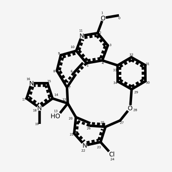 COc1cc2c3cc(ccc3n1)C(O)(c1cncn1C)c1cnc(Cl)c(c1)COc1cccc-2c1